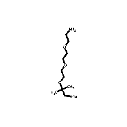 CC(C)(C)CC(C)(C)OCCOCCOCCN